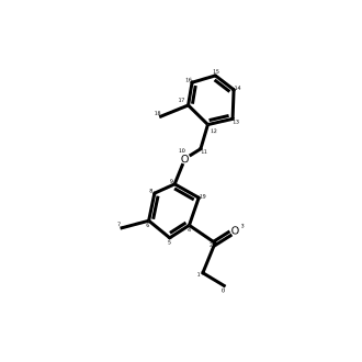 CCC(=O)c1cc(C)cc(OCc2ccccc2C)c1